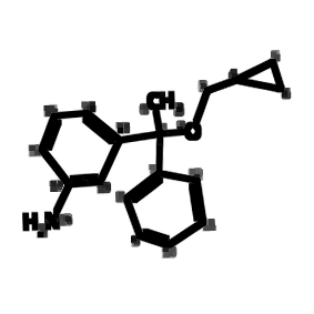 CC(OCC1CC1)(c1ccccc1)c1cccc(N)c1